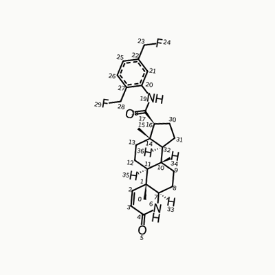 C[C@]12C=CC(=O)N[C@@H]1CC[C@@H]1[C@@H]2CC[C@]2(C)[C@@H](C(=O)Nc3cc(CF)ccc3CF)CC[C@@H]12